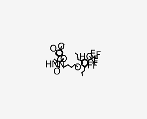 CCCc1cc(C(O)(C(F)(F)F)C(F)(F)F)cc(CCC)c1OCCCCN1C(=O)NC(C)(c2ccc(OC)c(OC)c2)C1=O